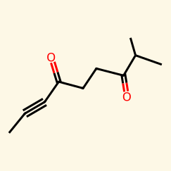 CC#CC(=O)CCC(=O)C(C)C